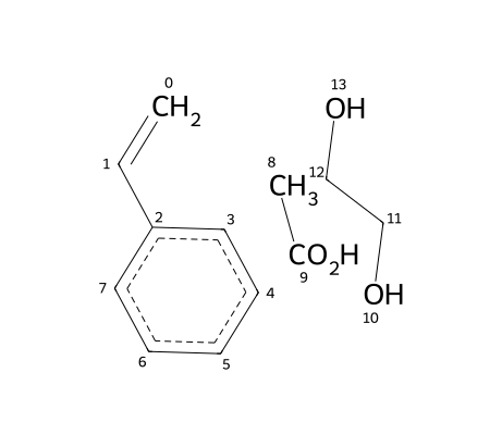 C=Cc1ccccc1.CC(=O)O.OCCO